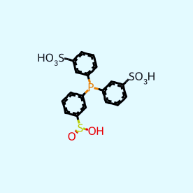 O=S(O)c1cccc(P(c2cccc(S(=O)(=O)O)c2)c2cccc(S(=O)(=O)O)c2)c1